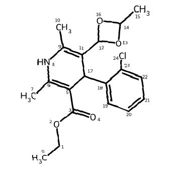 CCOC(=O)C1=C(C)NC(C)=C(C2OC(C)O2)C1c1ccccc1Cl